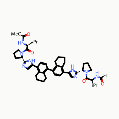 CCC(=O)N[C@H](C(=O)N1CCC[C@H]1c1ncc(-c2ccc(-c3ccc(-c4cnc([C@@H]5CCCN5C(=O)[C@@H](NC(=O)OC)C(C)C)[nH]4)c4c3CCCC4)c3c2CCCC3)[nH]1)C(C)C